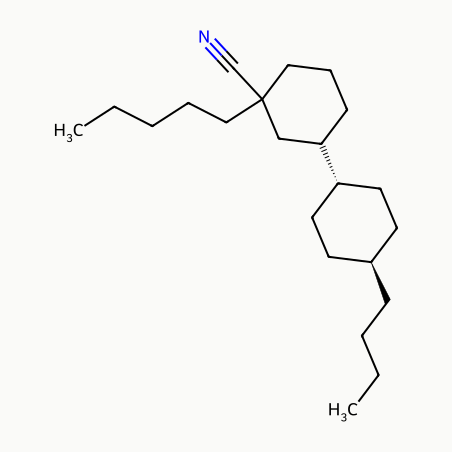 CCCCCC1(C#N)CCCC([C@H]2CC[C@H](CCCC)CC2)C1